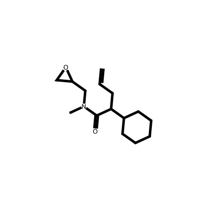 C=CCC(C(=O)N(C)CC1CO1)C1CCCCC1